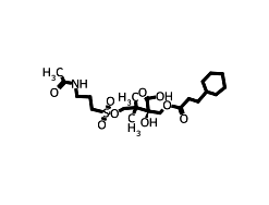 CC(=O)NCCCS(=O)(=O)OCC(C)(C)[C@@](O)(COC(=O)CCC1CCCCC1)C(=O)O